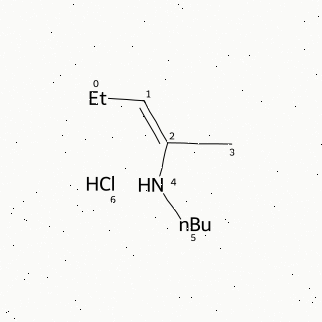 CCC=C(C)NCCCC.Cl